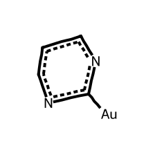 [Au][c]1ncccn1